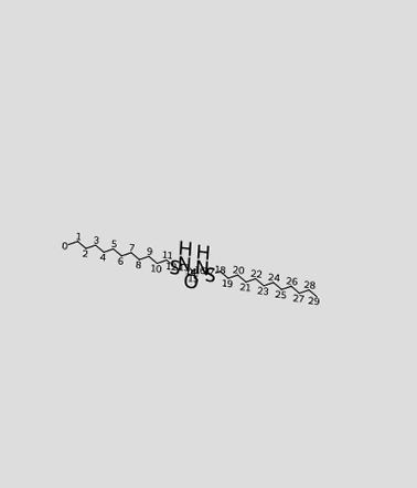 CCCCCCCCCCCCSNC(=O)NSCCCCCCCCCCCC